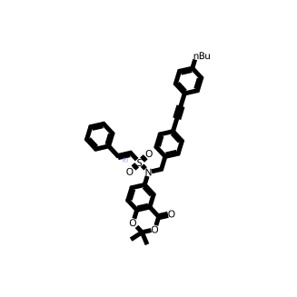 CCCCc1ccc(C#Cc2ccc(CN(c3ccc4c(c3)C(=O)OC(C)(C)O4)S(=O)(=O)/C=C/c3ccccc3)cc2)cc1